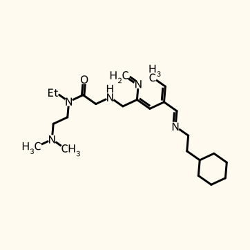 C=N\C(=C/C(/C=N/CCC1CCCCC1)=C\C)CNCC(=O)N(CC)CCN(C)C